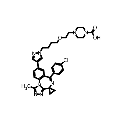 Cc1nnc2n1-c1ccc(-c3cnn(CCCCOCCN4CCN(C(=O)O)CC4)c3)cc1C(c1ccc(Cl)cc1)=NC21CC1